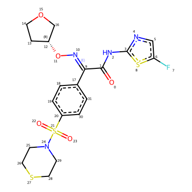 O=C(Nc1ncc(F)s1)/C(=N/O[C@@H]1CCOC1)c1ccc(S(=O)(=O)N2CCSCC2)cc1